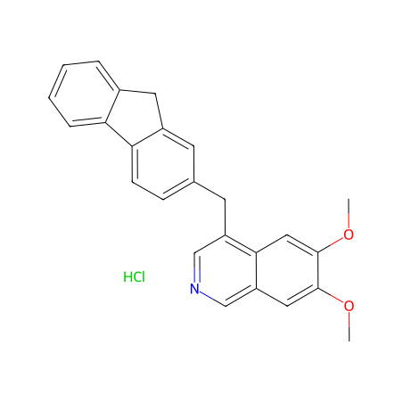 COc1cc2cncc(Cc3ccc4c(c3)Cc3ccccc3-4)c2cc1OC.Cl